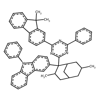 CC1CC2CC(C)C(c3ccc4c(c3)c3ccccc3n4-c3ccccc3)(c3nc(-c4ccccc4)nc(-c4ccc5c(c4)C(C)(C)c4ccccc4-5)n3)C(C1)C2